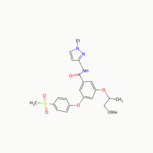 CCn1ccc(NC(=O)c2cc(Oc3ccc(S(C)(=O)=O)cc3)cc(OC(C)COC)c2)n1